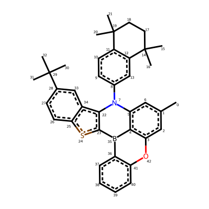 Cc1cc2c3c(c1)N(c1ccc4c(c1)C(C)(C)CCC4(C)C)c1c(sc4ccc(C(C)(C)C)cc14)B3c1ccccc1O2